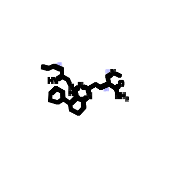 C=C/C=C\C(=N)CNc1nc(C/C=C(\C=N/C)C(N)=O)nc2c1=C(C1=CC=CCC1)CCC=2